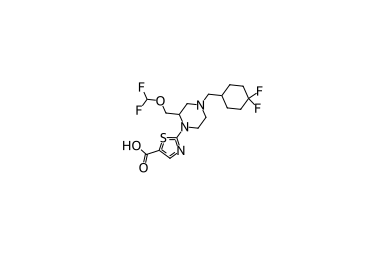 O=C(O)c1cnc(N2CCN(CC3CCC(F)(F)CC3)CC2COC(F)F)s1